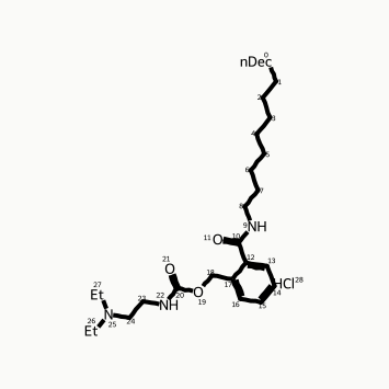 CCCCCCCCCCCCCCCCCCNC(=O)c1ccccc1COC(=O)NCCN(CC)CC.Cl